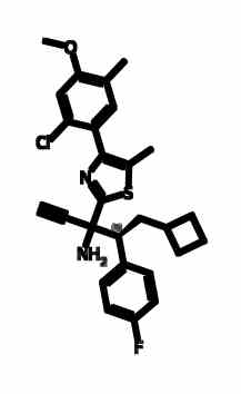 C#CC(N)(c1nc(-c2cc(C)c(OC)cc2Cl)c(C)s1)[C@@H](CC1CCC1)c1ccc(F)cc1